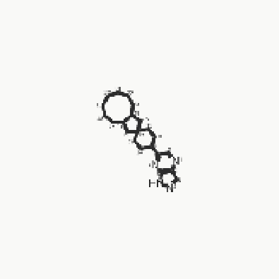 c1nc2cn[nH]c2nc1C1CCC2(CC1)CC1CCCCCCCC1C2